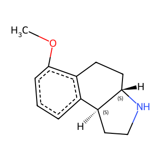 COc1cccc2c1CC[C@@H]1NCC[C@@H]21